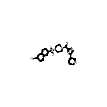 O=C(c1ncc(-c2cccnc2)s1)N1CCN(S(=O)(=O)c2ccc3cc(Cl)ccc3c2)CC1